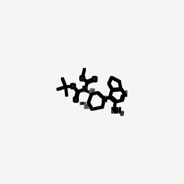 COC(=O)N(C(=O)OC(C)(C)C)[C@@H]1CN(c2c(N)cnc3c2CCC3)CC[C@@H]1C